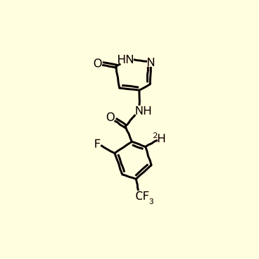 [2H]c1cc(C(F)(F)F)cc(F)c1C(=O)Nc1cn[nH]c(=O)c1